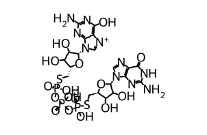 C[n+]1cn([C@@H]2O[C@H](CSP(=O)(O)OP(=O)(O)OP(=O)(O)SC[C@H]3O[C@@H](n4cnc5c(=O)[nH]c(N)nc54)C(O)C3O)C(O)C2O)c2nc(N)nc(O)c21